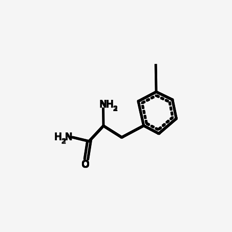 Cc1cccc(CC(N)C(N)=O)c1